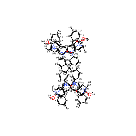 CCn1c2ccc(C)cc2c2cc(N(c3ccc(OC)cc3)c3ccc4c(c3)C3(c5cc(N(c6ccc(OC)cc6)c6ccc7c(c6)c6cc(C)ccc6n7CC)ccc5-4)c4cc(N(c5ccc(OC)cc5)c5ccc6c(c5)c5cc(C)ccc5n6CC)ccc4-c4ccc(N(c5ccc(OC)cc5)c5ccc6c(c5)c5cc(C)ccc5n6CC)cc43)ccc21